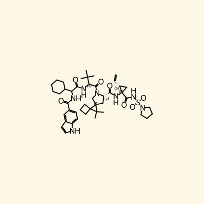 C=C[C@@H]1C[C@]1(NC(=O)[C@@H]1C[C@@]2(CN1C(=O)[C@@H](NC(=O)C(NC(=O)c1ccc3[nH]ccc3c1)C1CCCCC1)C(C)(C)C)C(C)(C)C21CCC1)C(=O)NS(=O)(=O)N1CCCC1